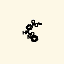 CCOC(=O)N1CCC(Nc2nc3ccccc3o2)C1